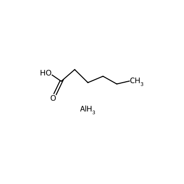 CCCCCC(=O)O.[AlH3]